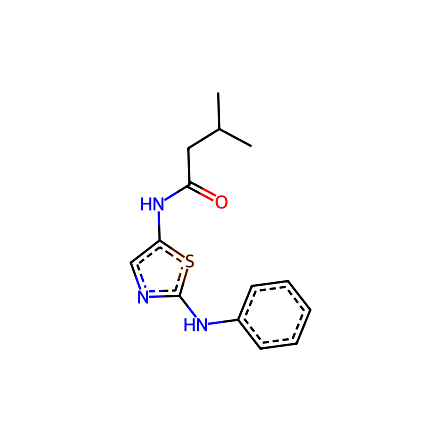 CC(C)CC(=O)Nc1cnc(Nc2ccccc2)s1